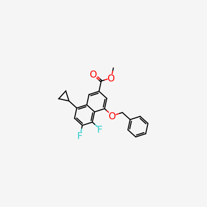 COC(=O)c1cc(OCc2ccccc2)c2c(F)c(F)cc(C3CC3)c2c1